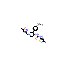 COc1ccc(C2CN(Cc3cc(C)on3)CC[C@H]2NC(=O)Nc2cc(C)ns2)cc1